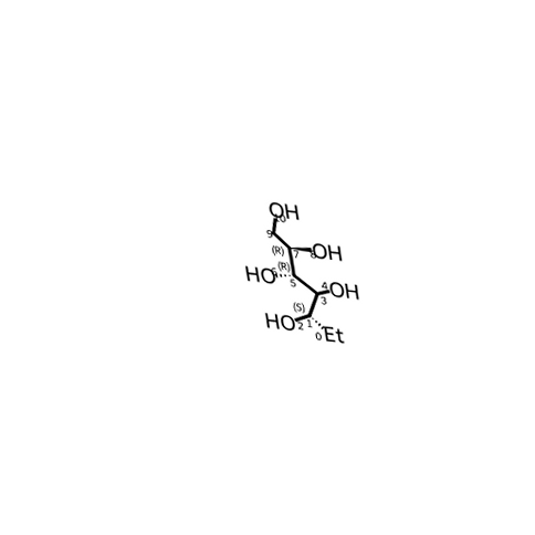 CC[C@H](O)C(O)[C@H](O)[C@H](O)CO